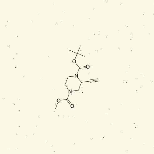 C#CC1CN(C(=O)OC)CCN1C(=O)OC(C)(C)C